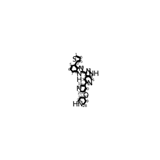 c1csc(-c2cccc3[nH]c(-c4n[nH]c5cnc(-c6cncc(OC7CCNCC7)c6)cc45)nc23)c1